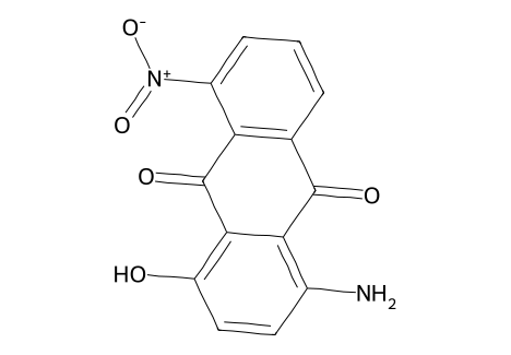 Nc1ccc(O)c2c1C(=O)c1cccc([N+](=O)[O-])c1C2=O